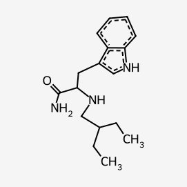 CCC(CC)CNC(Cc1c[nH]c2ccccc12)C(N)=O